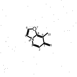 C=C1C=CN2C=COC2=C1C